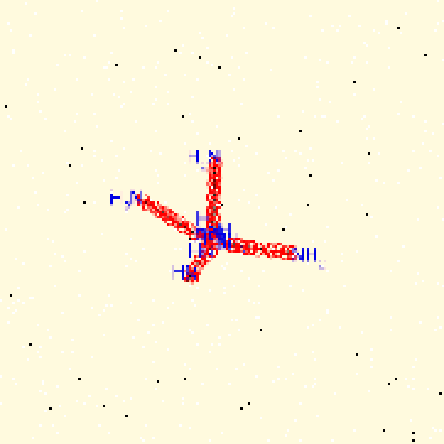 CC(C)(C)OC(=O)NCCOCCOCCOCCNC(=O)c1cc(OCC2=CN(CCOCCOCCOCCOCCOCCOCCOCCOCCOCCOCCN)NN2)c(OCc2cn(CCOCCOCCOCCOCCOCCOCCOCCOCCOCCOCCN)nn2)c(OC/C(N)=C/NCCOCCOCCOCCOCCOCCOCCOCCOCCOCCOCCN)c1